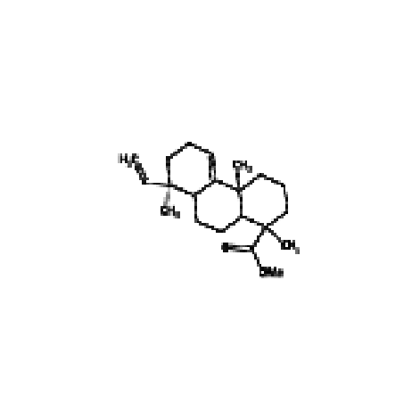 C=C[C@@]1(C)CCC=C2C1CCC1C(C)(C(=O)OC)CCCC21C